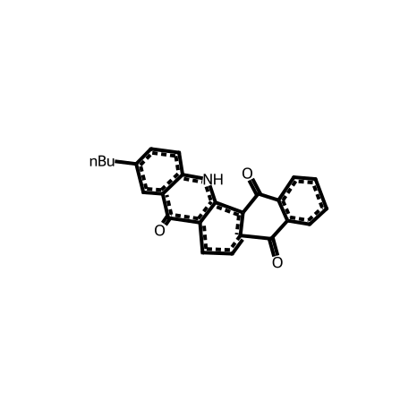 CCCCc1ccc2[nH]c3c4c(ccc3c(=O)c2c1)C(=O)c1ccccc1C4=O